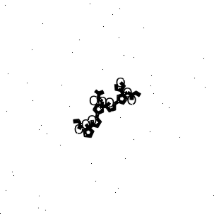 C=CC(=O)OC1(C2CCOC2)CCC(C2CCC(C3(OC(=O)C(=C)C)CCC(C4CCC(C5(OC(=O)C=C)CCCC5)O4)C3)O2)C1